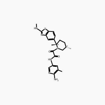 CNc1nc2cc([C@]3(C)CC[C@H](C)CN3C(=O)C(=O)Nc3cnc(N)c(C)c3)ccc2s1